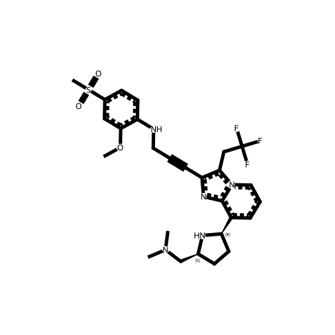 COc1cc(S(C)(=O)=O)ccc1NCC#Cc1nc2c([C@H]3CC[C@@H](CN(C)C)N3)cccn2c1CC(F)(F)F